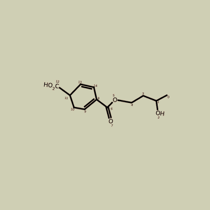 CC(O)CCOC(=O)C1=CCC(C(=O)O)C=C1